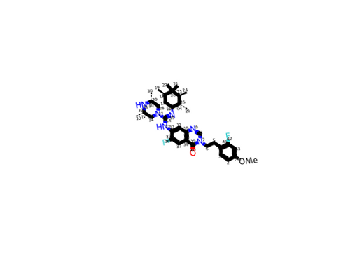 COc1ccc(CCn2cnc3cc(NC(=N[C@H]4C[C@@H](C)C(C)(C)[C@@H](C)[C@@H]4C)N4C[C@@H](C)N[C@@H](C)C4)c(F)cc3c2=O)c(F)c1